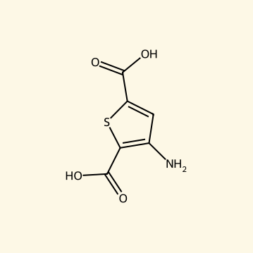 Nc1cc(C(=O)O)sc1C(=O)O